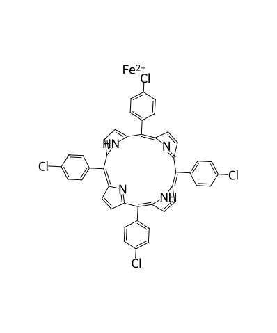 Clc1ccc(-c2c3nc(c(-c4ccc(Cl)cc4)c4ccc([nH]4)c(-c4ccc(Cl)cc4)c4nc(c(-c5ccc(Cl)cc5)c5ccc2[nH]5)C=C4)C=C3)cc1.[Fe+2]